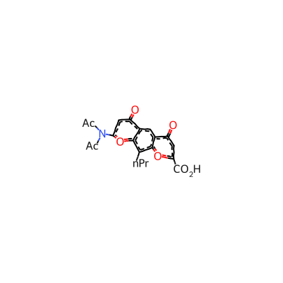 CCCc1c2oc(C(=O)O)cc(=O)c2cc2c(=O)cc(N(C(C)=O)C(C)=O)oc12